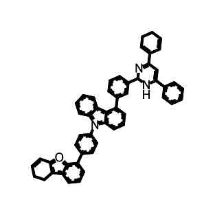 C1=CC(C2=NC(c3cccc(-c4cccc5c4c4ccccc4n5-c4ccc(-c5cccc6c7c(oc56)C=CCC7)cc4)c3)NC(c3ccccc3)=C2)=CCC1